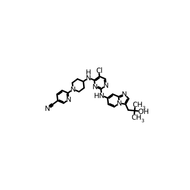 CC(C)(O)Cc1cnc2cc(Nc3ncc(Cl)c(NC4CCN(c5ccc(C#N)cn5)CC4)n3)ccn12